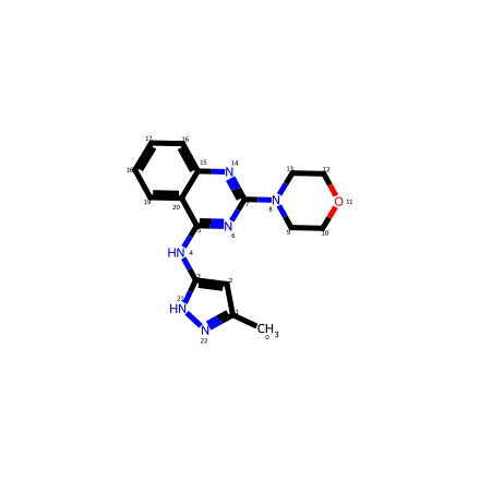 Cc1cc(Nc2nc(N3CCOCC3)nc3ccccc23)[nH]n1